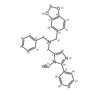 CCCCn1c(CN(Cc2ccccc2)Cc2ccc3c(c2)OCO3)cnc1-c1ccccc1